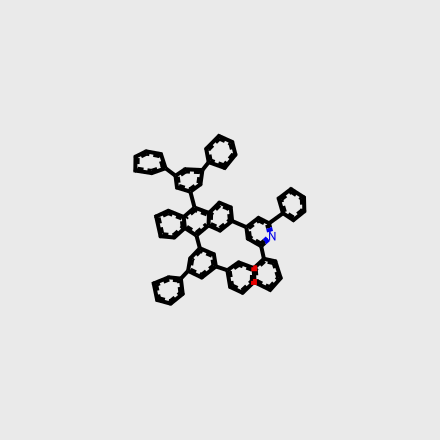 c1ccc(-c2cc(-c3ccccc3)cc(-c3c4ccccc4c(-c4cc(-c5ccccc5)cc(-c5ccccc5)c4)c4cc(-c5cc(-c6ccccc6)nc(-c6ccccc6)c5)ccc34)c2)cc1